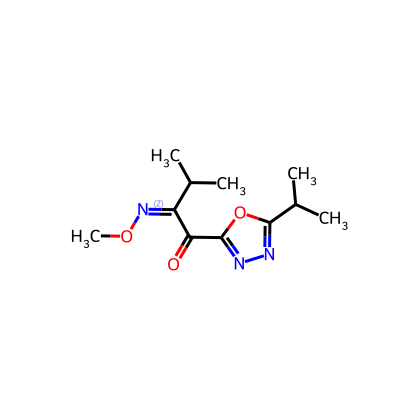 CO/N=C(\C(=O)c1nnc(C(C)C)o1)C(C)C